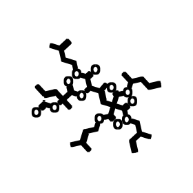 C=CCC(C)OC(=O)C(C=C(C)C(OC(=O)C(C)(C=CC)O[C]=O)C(=O)OCCC(=C)C)(C(=O)OCC=C(C)C)C(=O)OCC(C)C=C